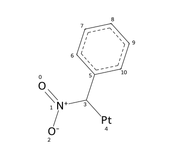 O=[N+]([O-])[CH]([Pt])c1ccccc1